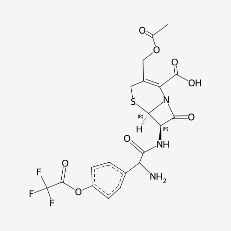 CC(=O)OCC1=C(C(=O)O)N2C(=O)[C@@H](NC(=O)C(N)c3ccc(OC(=O)C(F)(F)F)cc3)[C@H]2SC1